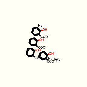 O=C([O-])c1ccccc1O.O=C([O-])c1ccccc1O.O=C([O-])c1ccccc1O.O=C([O-])c1ccccc1O.[Na+].[Na+].[Na+].[Na+]